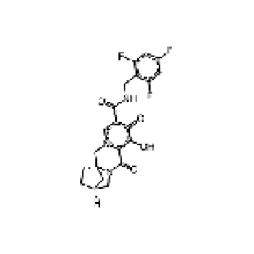 O=C(NCc1c(F)cc(F)cc1F)c1cn2c(c(O)c1=O)C(=O)N1C[C@H]3CC[C@]1(C3)C2